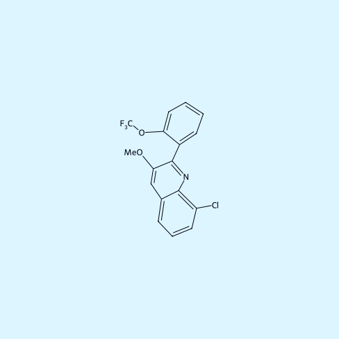 COc1cc2cccc(Cl)c2nc1-c1ccccc1OC(F)(F)F